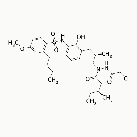 CCCCc1cc(OC)ccc1S(=O)(=O)Nc1cccc(C[C@@H](C)CN(NC(=O)CCl)C(=O)C[C@@H](C)CC)c1O